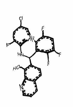 Oc1c(C(Nc2ncc(Cl)cc2F)c2c(F)c(F)cc(F)c2F)ccc2cccnc12